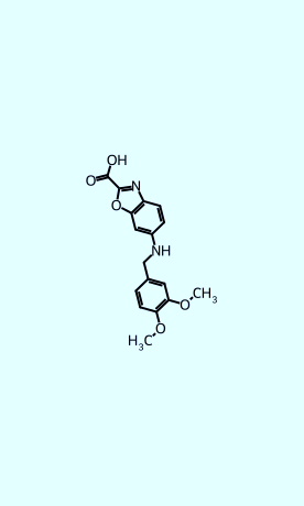 COc1ccc(CNc2ccc3nc(C(=O)O)oc3c2)cc1OC